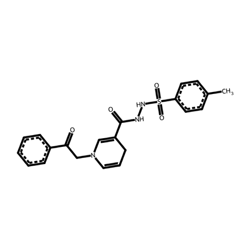 Cc1ccc(S(=O)(=O)NNC(=O)C2=CN(CC(=O)c3ccccc3)C=CC2)cc1